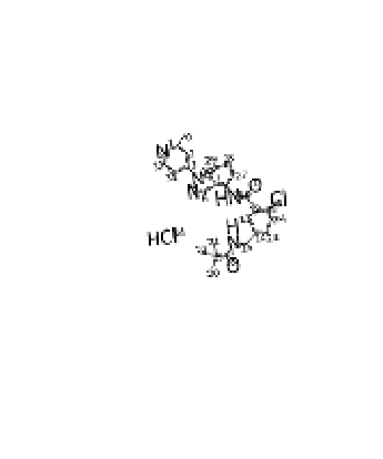 Cc1cc(-n2ncc3c(NC(=O)c4cc(CNC(=O)C(C)(C)C)ccc4Cl)cccc32)ccn1.Cl